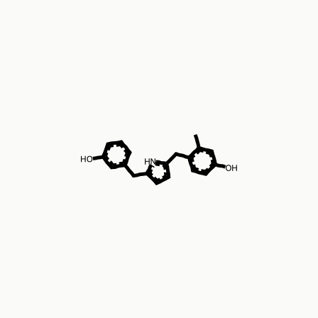 Cc1cc(O)ccc1Cc1ccc(Cc2cccc(O)c2)[nH]1